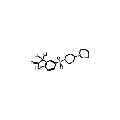 O=C1Nc2ccc(S(=O)(=O)N3CCC(N4CCCCC4)CC3)cc2C1(Cl)Cl